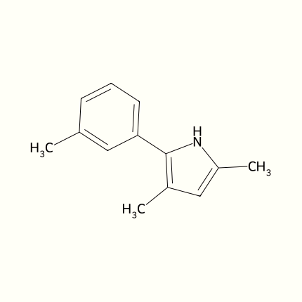 Cc1cccc(-c2[nH]c(C)cc2C)c1